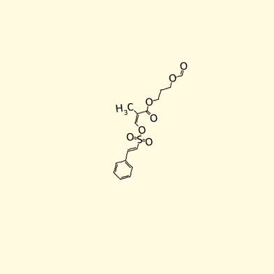 CC(=COS(=O)(=O)C=Cc1ccccc1)C(=O)OCCCOC=O